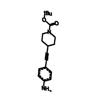 CC(C)(C)OC(=O)N1CCC(C#Cc2ccc(N)cc2)CC1